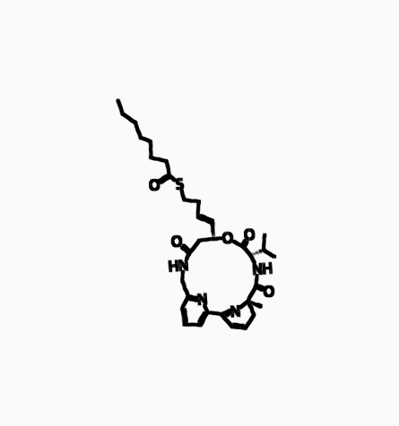 CCCCCCCC(=O)SCC/C=C/[C@@H]1CC(=O)NCc2cccc(n2)C2=N[C@@](C)(CC=C2)C(=O)N[C@@H](C(C)C)C(=O)O1